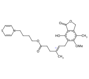 COc1c(C)c2c(c(O)c1C/C=C(\C)CCC(=O)OCCCCN1C=CSC=C1)C(=O)OC2